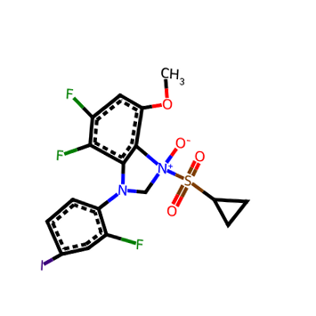 COc1cc(F)c(F)c2c1[N+]([O-])(S(=O)(=O)C1CC1)CN2c1ccc(I)cc1F